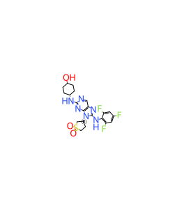 O=S1(=O)CC[C@@H](n2c(Nc3c(F)cc(F)cc3F)nc3cnc(N[C@H]4CC[C@H](O)CC4)nc32)C1